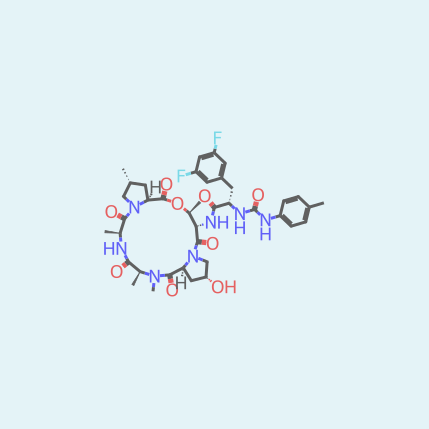 Cc1ccc(NC(=O)N[C@@H](Cc2cc(F)cc(F)c2)C(=O)N[C@@H]2C(=O)N3C[C@H](O)C[C@H]3C(=O)N(C)[C@@H](C)C(=O)N[C@@H](C)C(=O)N3C[C@H](C)C[C@H]3C(=O)O[C@H]2C)cc1